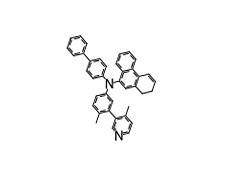 Cc1ccncc1-c1cc(N(c2ccc(-c3ccccc3)cc2)c2cc3c(c4ccccc24)C=CCC3)ccc1C